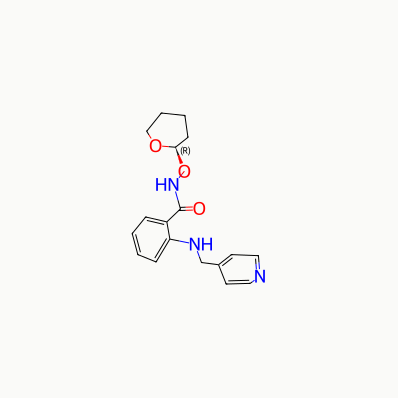 O=C(NO[C@@H]1CCCCO1)c1ccccc1NCc1ccncc1